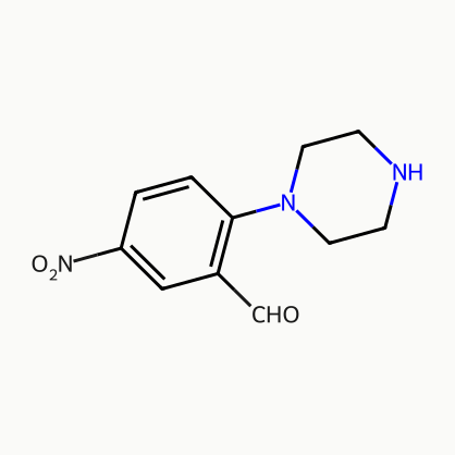 O=Cc1cc([N+](=O)[O-])ccc1N1CCNCC1